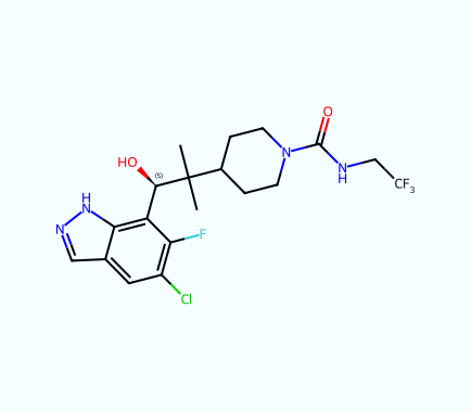 CC(C)(C1CCN(C(=O)NCC(F)(F)F)CC1)[C@H](O)c1c(F)c(Cl)cc2cn[nH]c12